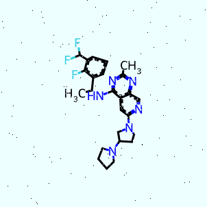 Cc1nc(NC(C)c2cccc(C(F)F)c2F)c2cc(N3CCC(N4CCCC4)C3)ncc2n1